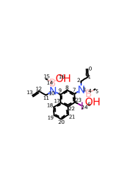 C=CCN(B(C)O)c1cc(N(CC=C)B(C)O)c2ccccc2c1I